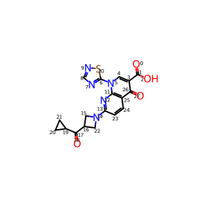 O=C(O)c1cn(-c2ncns2)c2nc(N3CC(C(=O)C4CC4)C3)ccc2c1=O